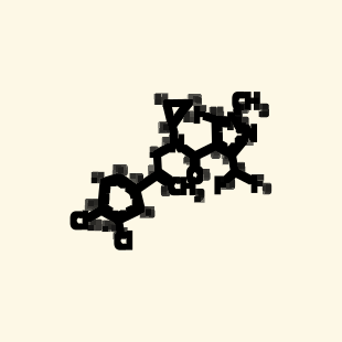 C=C(CN(C(=O)c1c(C(F)F)nn(C)c1F)C1CC1)c1ccc(Cl)c(Cl)c1